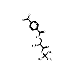 CC(C)(C)OC(=O)C(N)CNC(=O)c1ccc([N+](=O)[O-])cc1